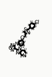 Nc1nonc1-c1nc2cnccc2n1-c1ccc(OCc2csc(-c3ccc(Cl)cc3)n2)cc1